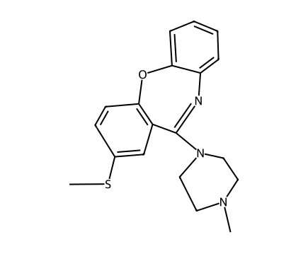 CSc1ccc2c(c1)C(N1CCN(C)CC1)=Nc1ccccc1O2